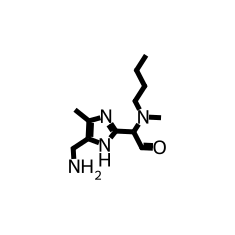 CCCCN(C)C(C=O)c1nc(C)c(CN)[nH]1